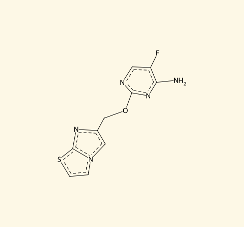 Nc1nc(OCc2cn3ccsc3n2)ncc1F